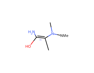 CNN(C)/C(C)=C(\N)O